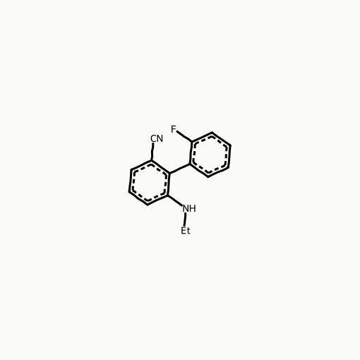 CCNc1cccc(C#N)c1-c1ccccc1F